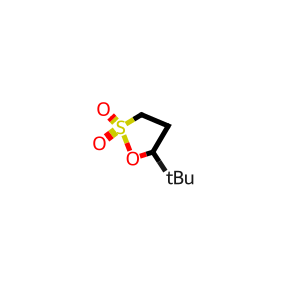 CC(C)(C)C1CCS(=O)(=O)O1